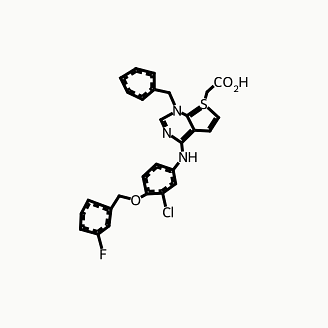 O=C(O)CS1=C2C(=C(Nc3ccc(OCc4cccc(F)c4)c(Cl)c3)N=CN2Cc2ccccc2)C=C1